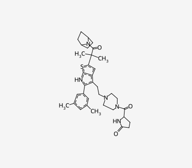 Cc1cc(C)cc(-c2[nH]c3sc(C(C)(C)C(=O)N4C5CCC4CC5)cc3c2CCN2CCN(C(=O)C3CCC(=O)N3)CC2)c1